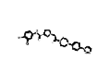 O=C(Nc1ccc(O)c(Cl)c1)[C@@H]1CCN(CC(=O)N2CCN(c3ccc(-n4ccnn4)cc3)CC2)C1